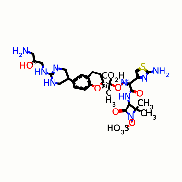 CC(O/N=C(\C(=O)NC1C(=O)N(OS(=O)(=O)O)C1(C)C)c1csc(N)n1)(C(=O)O)[C@H]1CCc2cc(C3CN=C(NC[C@@H](O)CN)NC3)ccc2O1